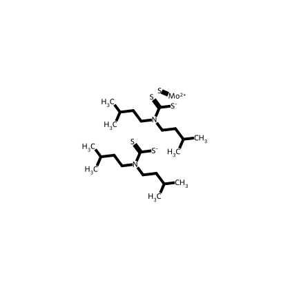 CC(C)CCN(CCC(C)C)C(=S)[S-].CC(C)CCN(CCC(C)C)C(=S)[S-].[S]=[Mo+2]